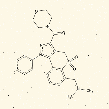 CN(C)Cc1cccc2c1S(=O)(=O)Cc1c(C(=O)N3CCOCC3)nn(-c3ccccc3)c1-2